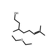 CC(C)=CCCC(C)CCO.CCOCC